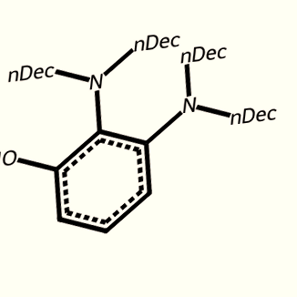 CCCCCCCCCCN(CCCCCCCCCC)c1cccc(O)c1N(CCCCCCCCCC)CCCCCCCCCC